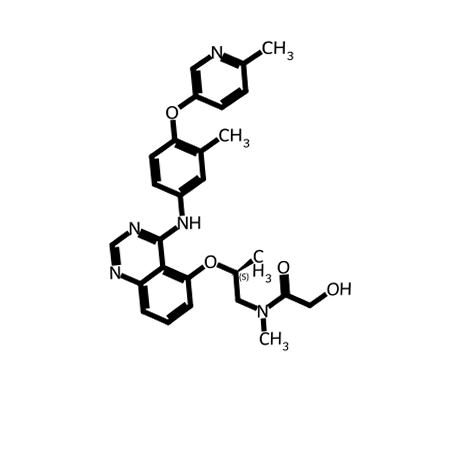 Cc1ccc(Oc2ccc(Nc3ncnc4cccc(O[C@@H](C)CN(C)C(=O)CO)c34)cc2C)cn1